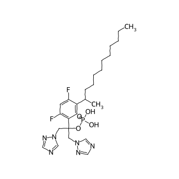 CCCCCCCCCCC(C)c1cc(C(Cn2cncn2)(Cn2cncn2)OP(=O)(O)O)c(F)cc1F